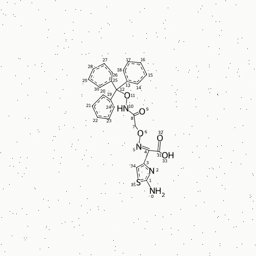 Nc1nc(/C(=N/OCC(=O)NOC(c2ccccc2)(c2ccccc2)c2ccccc2)C(=O)O)cs1